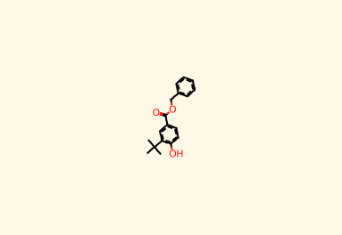 CC(C)(C)c1cc(C(=O)OCc2ccccc2)ccc1O